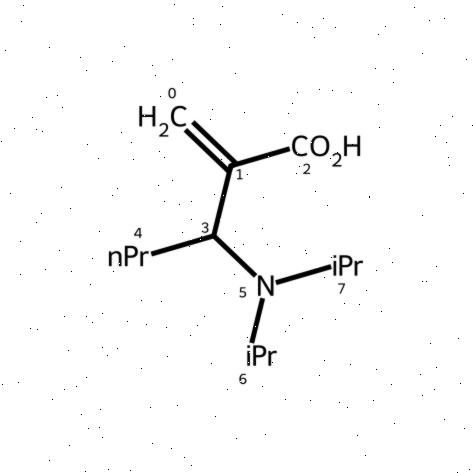 C=C(C(=O)O)C(CCC)N(C(C)C)C(C)C